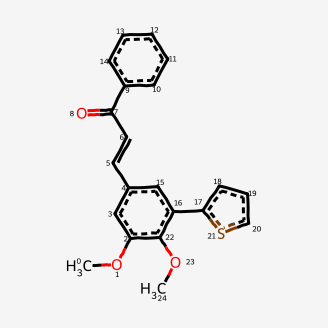 COc1cc(C=CC(=O)c2ccccc2)cc(-c2cccs2)c1OC